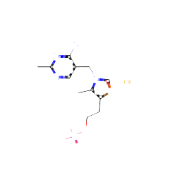 Cc1ncc(C[n+]2csc(CCOP(=O)(O)O)c2C)c(N)n1.Cl.Cl.O.O